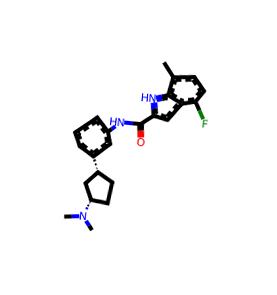 Cc1ccc(F)c2cc(C(=O)Nc3cccc([C@@H]4CC[C@H](N(C)C)C4)c3)[nH]c12